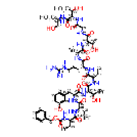 CC[C@H](C)[C@H](NC(=O)[C@@H](CCCNC(=N)N)NC(=O)[C@H](CC(C)C)NC(=O)[C@@H](NC(=O)[C@H](Cc1cccc(O)c1)NC(=O)[C@H](CC(C)C)NC(=O)[C@@H](CC(C)C)NC(=O)OCc1ccccc1)C(O)C(C)C)C(=O)N[C@H](C(=O)NCC(=O)N[C@H](C(=O)N[C@@H](CO)C(=O)O)C(O)C(=O)O)[C@H](C)O